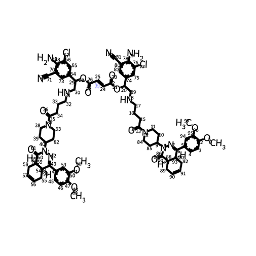 COc1ccc(C2=NN(C3CCN(C(=O)CCCNCC(OC(=O)/C=C/C(=O)OC(CNCCCC(=O)N4CCC(N5N=C(c6ccc(OC)c(OC)c6)[C@H]6CC=CC[C@H]6C5=O)CC4)c4cc(Cl)c(N)c(C#N)c4)c4cc(Cl)c(N)c(C#N)c4)CC3)C(=O)[C@@H]3CC=CC[C@H]23)cc1OC